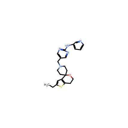 CCc1cc2c(s1)CCOC21CCN(Cc2cnc(Nc3cccnc3)nc2)CC1